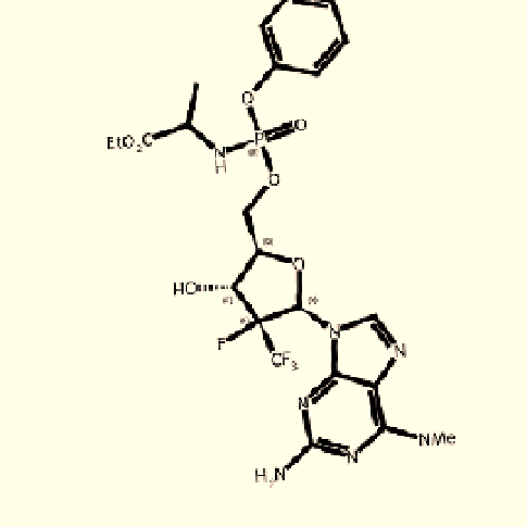 CCOC(=O)C(C)N[P@@](=O)(OC[C@H]1O[C@@H](n2cnc3c(NC)nc(N)nc32)[C@@](F)(C(F)(F)F)[C@@H]1O)Oc1ccccc1